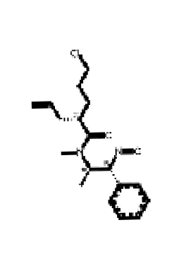 C=CC[C@H](CCCCl)C(=O)N(C)[C@H](C)[C@H](N=O)c1ccccc1